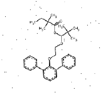 CCC(C)(C)C(=O)OC(OCCOc1c(-c2ccccc2)cccc1-c1ccccc1)C(C)(C)C